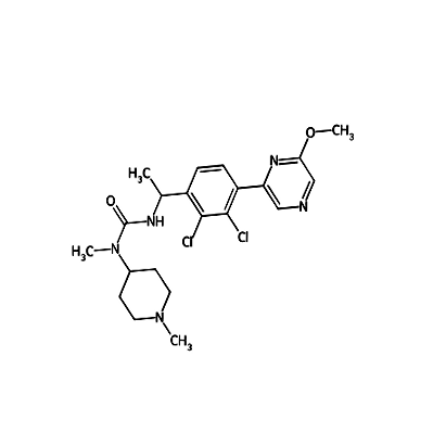 COc1cncc(-c2ccc(C(C)NC(=O)N(C)C3CCN(C)CC3)c(Cl)c2Cl)n1